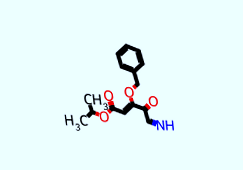 CC(C)OC(=O)/C=C(\OCc1ccccc1)C(=O)C=N